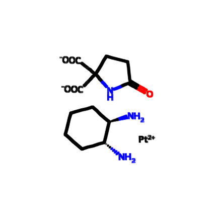 N[C@@H]1CCCC[C@H]1N.O=C1CCC(C(=O)[O-])(C(=O)[O-])N1.[Pt+2]